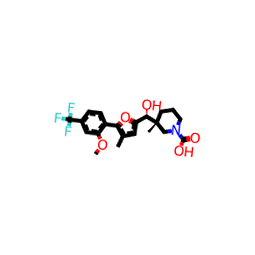 COc1cc(C(F)(F)F)ccc1-c1oc([C@H](O)[C@]2(C)CCCN(C(=O)O)C2)cc1C